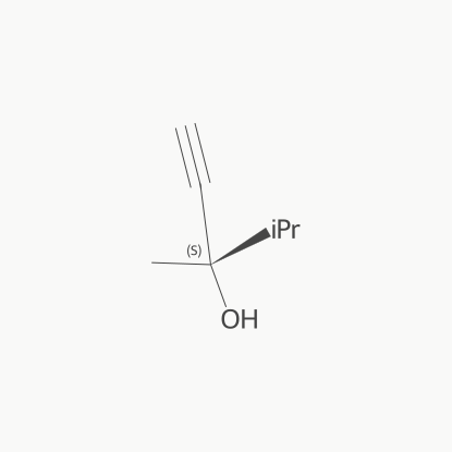 C#C[C@@](C)(O)C(C)C